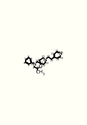 CC1CN(c2ccccc2)CC2(CCN(CCc3ccncc3)CC2)O1